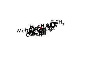 COC(=O)[C@]1(C)CCC[C@@]2(C)[C@@H]3C[C@@H]4CC[C@@]3(CC[C@@H]21)[C@@H](O)[C@@H]4COS(=O)(=O)c1ccc(C)cc1